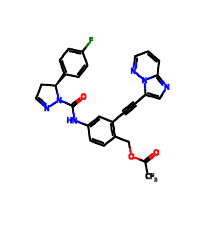 O=C(Nc1ccc(COC(=O)C(F)(F)F)c(C#Cc2cnc3cccnn23)c1)N1N=CC[C@H]1c1ccc(F)cc1